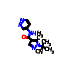 Cc1c(C(=O)Nc2ccnnc2)cnn1C(C)(C)C#N